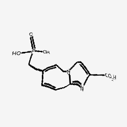 O=C(O)c1cn2cc(CP(=O)(O)O)ccc2n1